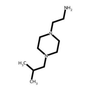 C[C](C)CN1CCN(CCN)CC1